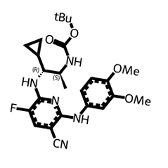 COc1ccc(Nc2nc(N[C@H](C3CC3)[C@H](C)NC(=O)OC(C)(C)C)c(F)cc2C#N)cc1OC